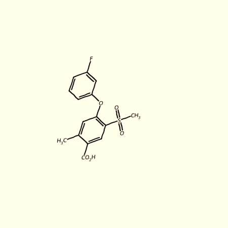 Cc1cc(Oc2cccc(F)c2)c(S(C)(=O)=O)cc1C(=O)O